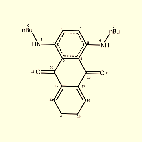 CCCCNc1ccc(NCCCC)c2c1C(=O)C1=CCCC=C1C2=O